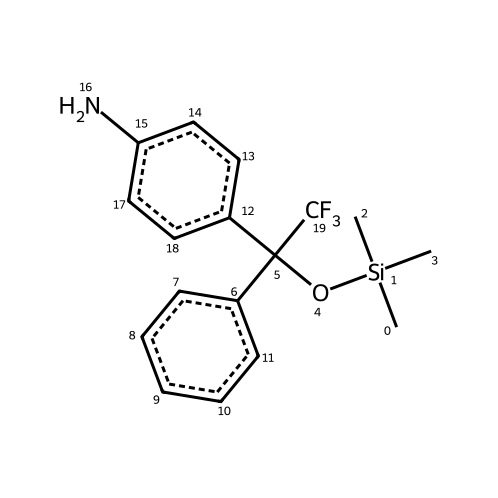 C[Si](C)(C)OC(c1ccccc1)(c1ccc(N)cc1)C(F)(F)F